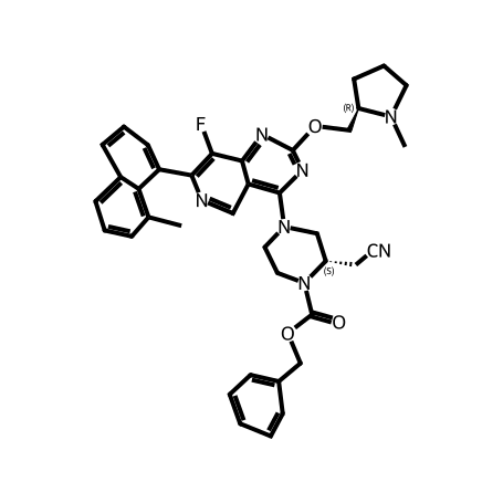 Cc1cccc2cccc(-c3ncc4c(N5CCN(C(=O)OCc6ccccc6)[C@@H](CC#N)C5)nc(OC[C@H]5CCCN5C)nc4c3F)c12